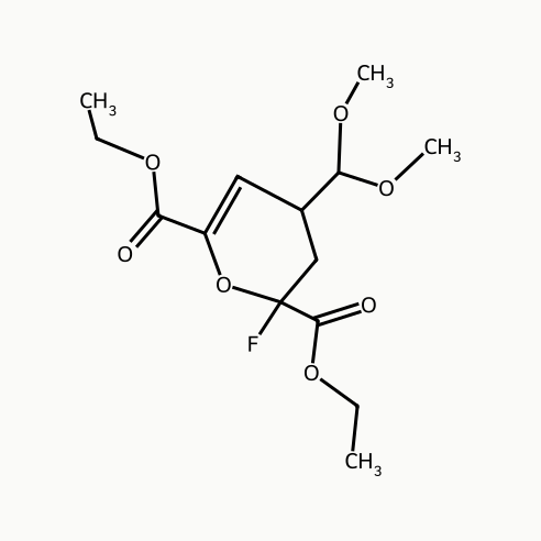 CCOC(=O)C1=CC(C(OC)OC)CC(F)(C(=O)OCC)O1